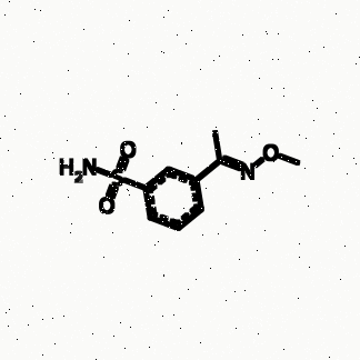 CO/N=C(\C)c1cccc(S(N)(=O)=O)c1